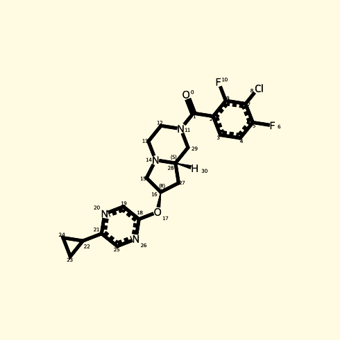 O=C(c1ccc(F)c(Cl)c1F)N1CCN2C[C@H](Oc3cnc(C4CC4)cn3)C[C@H]2C1